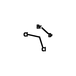 ClCCl.[B]Br